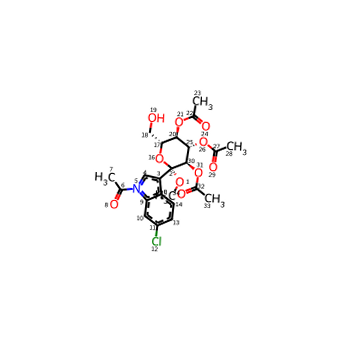 CO[C@]1(c2cn(C(C)=O)c3cc(Cl)ccc23)O[C@H](CO)[C@@H](OC(C)=O)[C@H](OC(C)=O)[C@H]1OC(C)=O